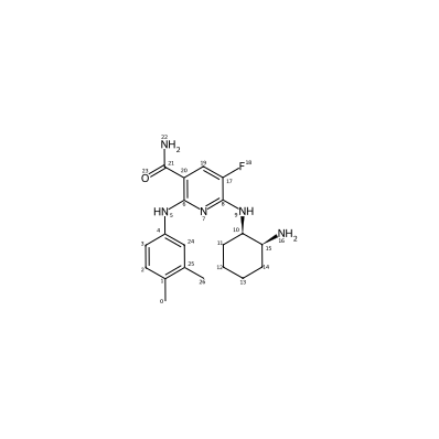 Cc1ccc(Nc2nc(N[C@@H]3CCCC[C@@H]3N)c(F)cc2C(N)=O)cc1C